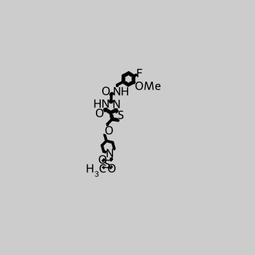 COc1cc(CNC(=O)c2nc3scc(COCC4CCN(CS(C)(=O)=O)CC4)c3c(=O)[nH]2)ccc1F